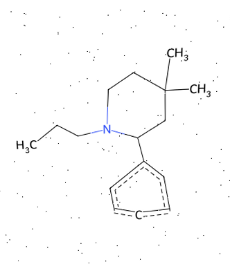 CCCN1CCC(C)(C)CC1c1ccccc1